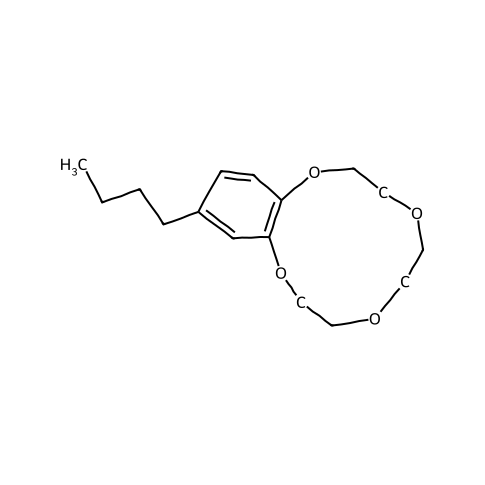 CCCCc1ccc2c(c1)OCCOCCOCCO2